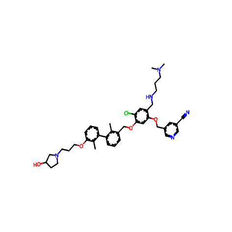 Cc1c(COc2cc(OCc3cncc(C#N)c3)c(CNCCCN(C)C)cc2Cl)cccc1-c1cccc(OCCCN2CCC(O)C2)c1C